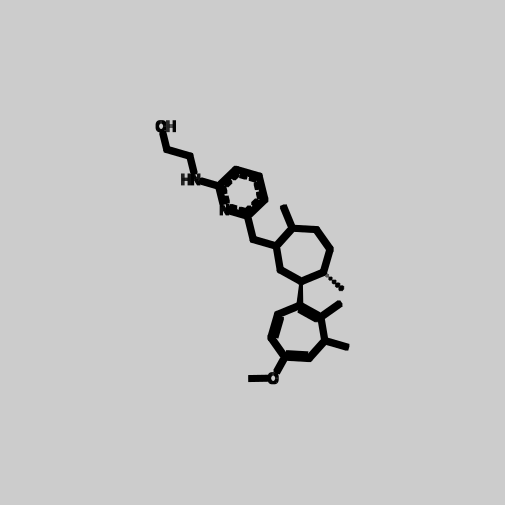 COC1=CC(C)C(C)=C([C@H]2CC(Cc3cccc(NCCO)n3)C(C)CC[C@@H]2C)C=C1